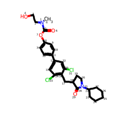 CN(CCO)C(=O)Oc1ccc(-c2cc(Cl)c(CC3CCN(C4CCCCC4)C3=O)c(Cl)c2)cc1